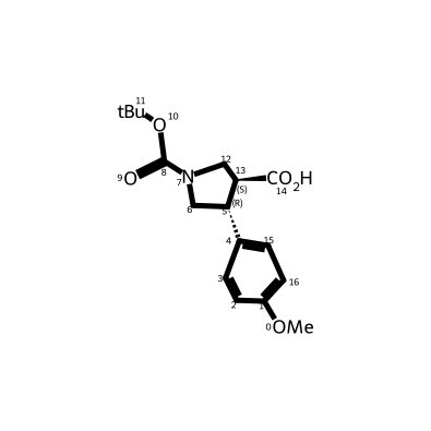 COc1ccc([C@@H]2CN(C(=O)OC(C)(C)C)C[C@H]2C(=O)O)cc1